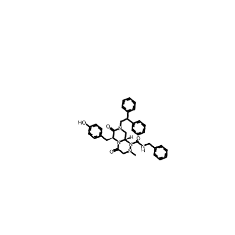 CN1CC(=O)N2[C@@H](Cc3ccc(O)cc3)C(=O)N(CC(c3ccccc3)c3ccccc3)C[C@@H]2N1C(=O)NCc1ccccc1